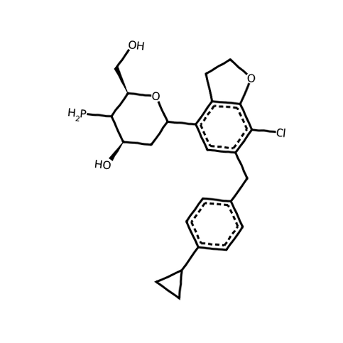 OC[C@H]1OC(c2cc(Cc3ccc(C4CC4)cc3)c(Cl)c3c2CCO3)C[C@@H](O)C1P